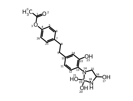 CC(=O)Oc1ccc(CCc2ccc(N3CC(O)NS3(O)O)c(O)c2)cc1